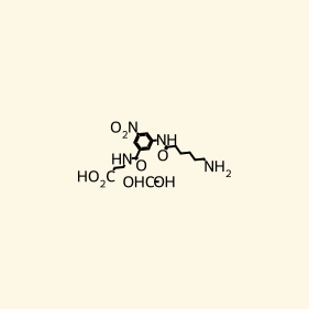 NCCCCCC(=O)Nc1cc(C(=O)NCCC(=O)O)cc([N+](=O)[O-])c1.O=CO